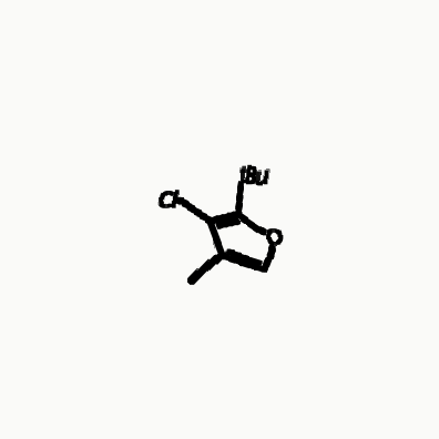 Cc1coc(C(C)(C)C)c1Cl